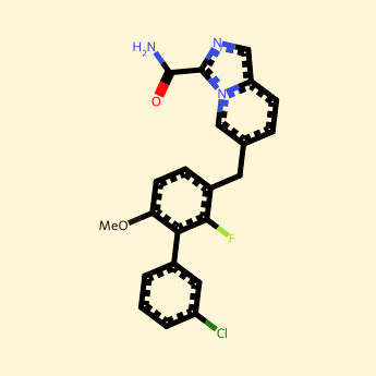 COc1ccc(Cc2ccc3cnc(C(N)=O)n3c2)c(F)c1-c1cccc(Cl)c1